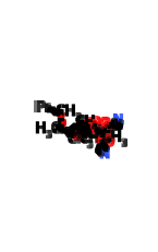 Cc1c(C)c2c(c(C)c1OC(=O)OCCC(C)(COC(=O)c1cccnc1)OC(=O)c1cccnc1)CCC(C)(CCCC(C)CCCC(C)CCCC(C)C)O2